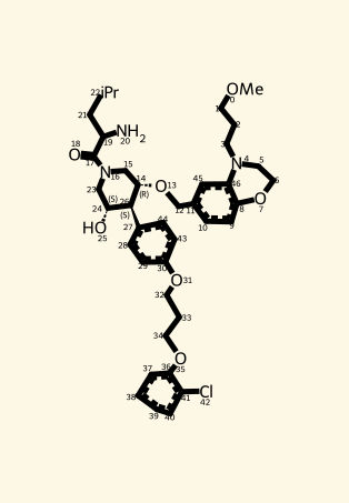 COCCCN1CCOc2ccc(CO[C@H]3CN(C(=O)C(N)CC(C)C)C[C@@H](O)[C@@H]3c3ccc(OCCCOc4ccccc4Cl)cc3)cc21